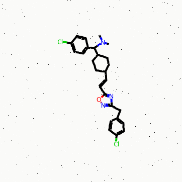 CN(C)C(c1ccc(Cl)cc1)C1CCC(C=Cc2nc(Cc3ccc(Cl)cc3)no2)CC1